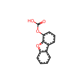 O=C(O)Oc1cccc2c1oc1ccccc12